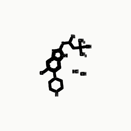 CCC(CC(C)(C)O)Sc1nc2cc(Cl)c(N3CCNCC3)cc2[nH]1.Cl.Cl